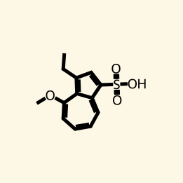 CCc1cc(S(=O)(=O)O)c2ccccc(OC)c1-2